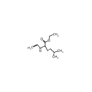 C=CNC(CCC(C)C)C(=O)OCC